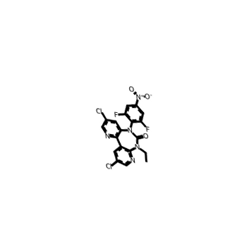 CCN1C(=O)N(c2c(F)cc([N+](=O)[O-])cc2F)c2cc(Cl)cnc2-c2cc(Cl)cnc21